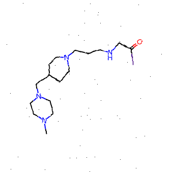 CN1CCN(CC2CCN(CCCNCC(=O)I)CC2)CC1